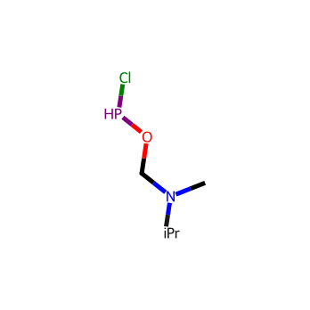 CC(C)N(C)COPCl